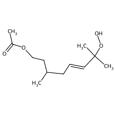 CC(=O)OCCC(C)C/C=C/C(C)(C)OO